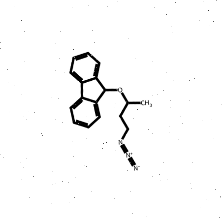 CC(CCN=[N+]=[N-])OC1c2ccccc2-c2ccccc21